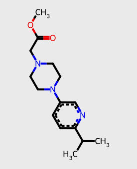 COC(=O)CN1CCN(c2ccc(C(C)C)nc2)CC1